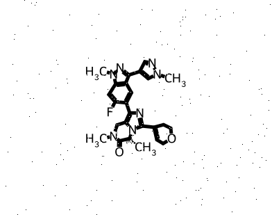 C[C@@H]1C(=O)N(C)Cc2c(-c3cc4c(-c5cnn(C)c5)nn(C)c4cc3F)nc(C3=CCOCC3)n21